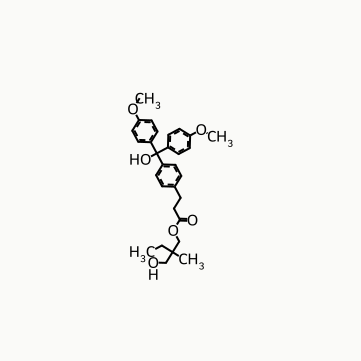 CCC(C)(CO)COC(=O)CCc1ccc(C(O)(c2ccc(OC)cc2)c2ccc(OC)cc2)cc1